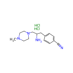 CN1CCN(CC(N)Cc2ccc(C#N)cc2)CC1.Cl.Cl